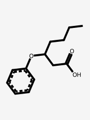 CCCCC(CC(=O)O)Oc1ccccc1